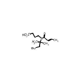 CC=CC(=O)N(CCCC(=O)O)C(C)(C)CC(C)(C)C